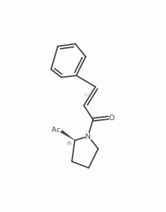 CC(=O)[C@@H]1CCCN1C(=O)/C=C/c1ccccc1